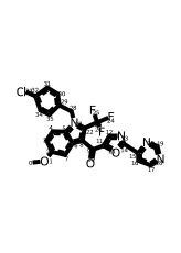 COc1ccc2c(c1)c(C(=O)c1cnc(-c3ccncn3)o1)c(C(F)(F)F)n2Cc1ccc(Cl)cc1